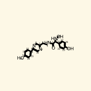 O=C(NCCc1cnc(-c2ccc(O)cc2)cn1)C(NO)c1ccc(O)cc1